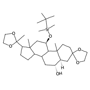 CC1(C2CCC3C4C[C@@H](O)[C@@H]5CC6(CCC5(C)C4[C@H](O[Si](C)(C)C(C)(C)C)CC32C)OCCO6)OCCO1